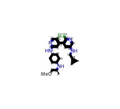 COC[C@H](C)N[C@H]1CC[C@H](Nc2cc(-c3cc(NCC4CC4)cnc3Cl)c(F)cn2)CC1